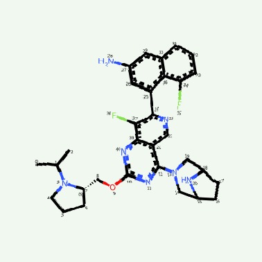 CC(C)N1CCC[C@H]1COc1nc(N2CC3CCC(C2)N3)c2cnc(-c3cc(N)cc4cccc(F)c34)c(F)c2n1